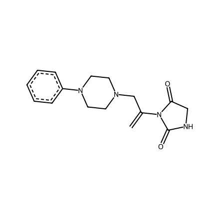 C=C(CN1CCN(c2ccccc2)CC1)N1C(=O)CNC1=O